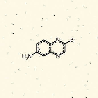 Nc1ccc2nc(Br)cnc2c1